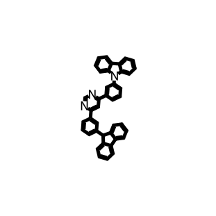 c1cc(-c2cc(-c3cccc(-n4c5ccccc5c5ccccc54)c3)ncn2)cc(C2c3ccccc3-c3ccccc32)c1